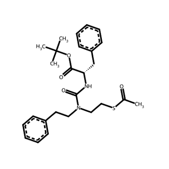 CC(=O)SCCN(CCc1ccccc1)C(=O)N[C@@H](Cc1ccccc1)C(=O)OC(C)(C)C